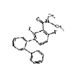 CN(C)C(=O)c1c(F)ccc(-c2ccccc2-c2ccccc2)c1F